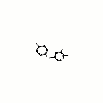 Fc1ncc(Sc2ccc(Cl)cc2)cc1Cl